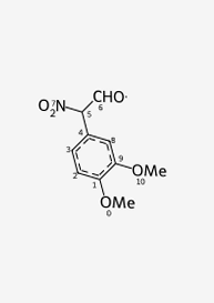 COc1ccc(C([C]=O)[N+](=O)[O-])cc1OC